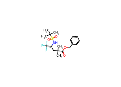 CC(C)(C[C@H](NS(=O)(=O)C(C)(C)C)C(F)(F)F)C(=O)OCc1ccccc1